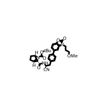 COCCCn1c(=O)oc2ccc(-c3ccc(C[C@@H](C#N)NC(=O)[C@@H]4[C@H]5CC[C@H](C5)N4C(=O)OC(C)(C)C)cc3)cc21